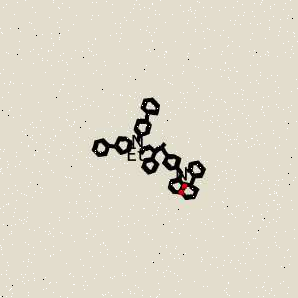 CC/C(=C\C(=C(/C)c1ccc(N(c2ccccc2)c2ccccc2-c2ccccc2)cc1)c1ccccc1)N(c1ccc(-c2ccccc2)cc1)c1ccc(-c2ccccc2)cc1